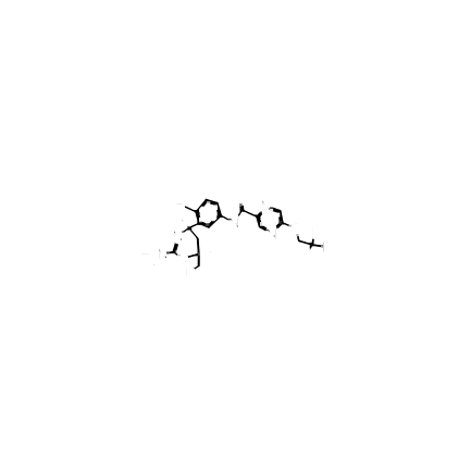 C[C@@H]1[C@@](C)(CF)SC(N)=N[C@]1(C)c1cc(NC(=O)c2cnc(OCC(F)(F)F)cn2)ccc1F